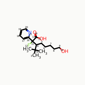 CC(C)(C)C(CCCCCO)C(F)(C(=O)O)c1ccccn1